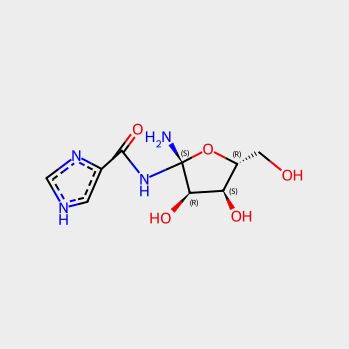 N[C@@]1(NC(=O)c2c[nH]cn2)O[C@H](CO)[C@@H](O)[C@H]1O